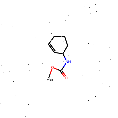 CC(C)(C)OC(=O)NC1C=CCCC1